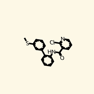 CSc1cccc(-c2ccccc2NC(=O)c2cccnc2Cl)c1